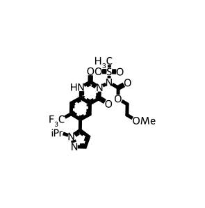 COCCOC(=O)N(n1c(=O)[nH]c2cc(C(F)(F)F)c(-c3ccnn3C(C)C)cc2c1=O)S(C)(=O)=O